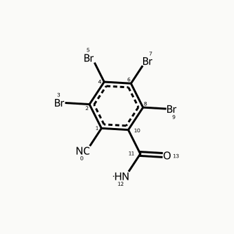 N#Cc1c(Br)c(Br)c(Br)c(Br)c1C([NH])=O